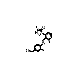 Cc1cc(CCl)ccc1OCc1c(C)cccc1-n1nnn(C)c1=O